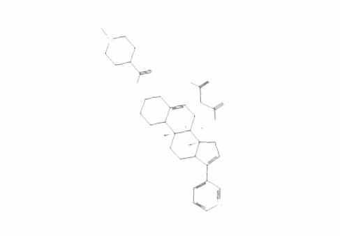 CN1CCC(C(=O)O[C@H]2CC[C@@]3(C)C(=CC[C@@H]4[C@@H]3CC[C@]3(C)C(c5cccnc5)=CC[C@@H]43)C2)CC1.O=C(O)CC(=O)O